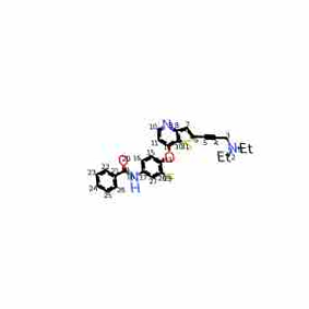 CCN(CC)CC#Cc1cc2nccc(Oc3ccc(NC(=O)c4ccccc4)cc3F)c2s1